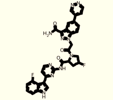 NC(=O)c1nn(CC(=O)N2CC(F)CC2C(=O)Nc2nccc(-c3c[nH]c4cccc(F)c34)n2)c2ccc(-c3ccnnc3)cc12